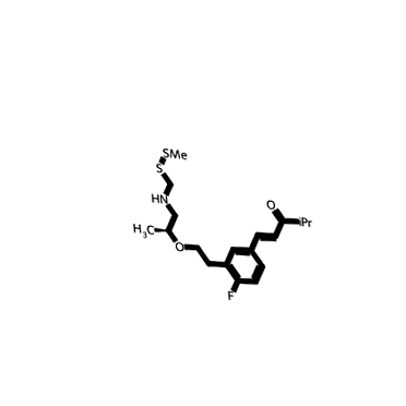 CSSCNC[C@H](C)OCCc1cc(/C=C/C(=O)C(C)C)ccc1F